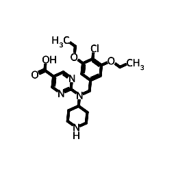 CCOc1cc(CN(c2ncc(C(=O)O)cn2)C2CCNCC2)cc(OCC)c1Cl